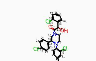 Cc1ccc(N2CCN(C(=O)C(O)c3ccccc3Cl)CC2c2ccc(Cl)cc2)c(Cl)c1